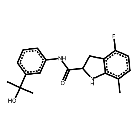 Cc1ccc(F)c2c1NC(C(=O)Nc1cccc(C(C)(C)O)c1)C2